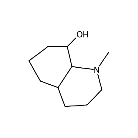 CN1CCCC2CCCC(O)C21